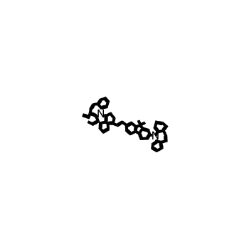 C=CC1=C(/C=C\C)N(C2=c3ccccc3=C(/C=C/c3ccc4c(c3)C(C)(C)c3cc(N5c6ccccc6C=Cc6ccccc65)ccc3-4)CC2)c2ccccc2C=C1